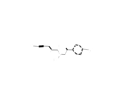 C=C(CN(C)C/C=C/C#CC(C)(C)C)c1ccc([N+](=O)[O-])cc1